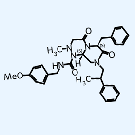 COc1ccc(CNC(=O)N2[C@H]3CN(CC(C)c4ccccc4)C(=O)[C@H](Cc4ccccc4)N3C(=O)CN2C)cc1